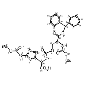 CC(C)(C)OC(=O)Nc1nc([C@@H](NC(=O)OCC(NC(=O)OC(C)(C)C)C(=O)OC(c2ccccc2)c2ccccc2)C(=O)O)ns1